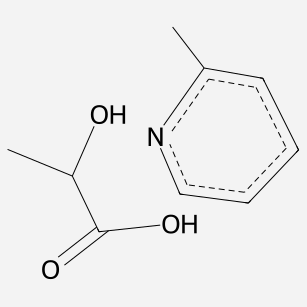 CC(O)C(=O)O.Cc1ccccn1